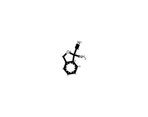 N#CC1(N)OCc2ccccc21